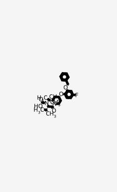 CC(C)[C@@H](C(=O)N1CCC(Oc2ccc(F)cc2OCc2ccccc2)CC1)N(C(=O)O)C(C)(C)C